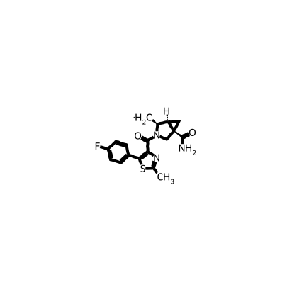 [CH2][C@H]1[C@H]2C[C@]2(C(N)=O)CN1C(=O)c1nc(C)sc1-c1ccc(F)cc1